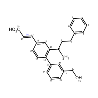 NC(CCc1ccccc1)c1cc(/C=C/C(=O)O)ccc1-c1cccc(CO)c1